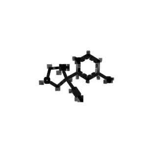 N#CC1(c2cc(Br)ccn2)COCN1